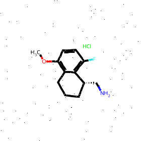 COc1ccc(F)c2c1CCC[C@H]2CN.Cl